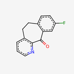 O=C1c2cc(F)ccc2CCc2cccnc21